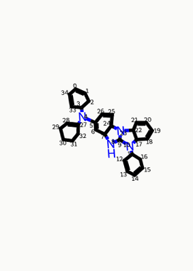 C1=CCC(N(C2=CC3NC4N(C5C=CC=CC5)C5C=CC=CC5N4C3C=C2)C2=CCCCC2)C=C1